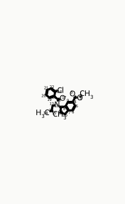 COC(=O)c1ccc2c(c1)C(N(CC(C)C)C(=O)c1ccccc1Cl)CC2